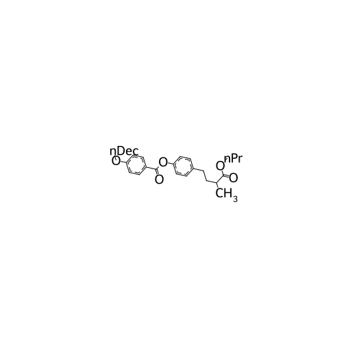 CCCCCCCCCCOc1ccc(C(=O)Oc2ccc(CCC(C)C(=O)OCCC)cc2)cc1